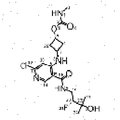 CNC(=O)O[C@H]1C[C@@H](Nc2cc(Cl)ncc2C(=O)NC[C@@H](F)C(C)(C)O)C1